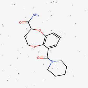 NC(=O)C1CCOc2c(c[c]cc2C(=O)N2CCCCC2)O1